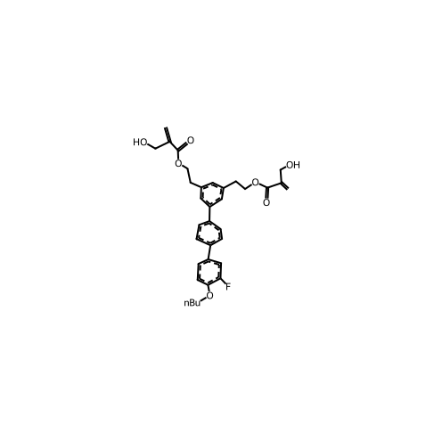 C=C(CO)C(=O)OCCc1cc(CCOC(=O)C(=C)CO)cc(-c2ccc(-c3ccc(OCCCC)c(F)c3)cc2)c1